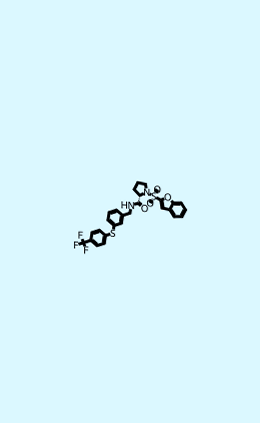 O=C(NCc1cccc(Sc2ccc(C(F)(F)F)cc2)c1)[C@@H]1CCCN1S(=O)(=O)c1cc2ccccc2o1